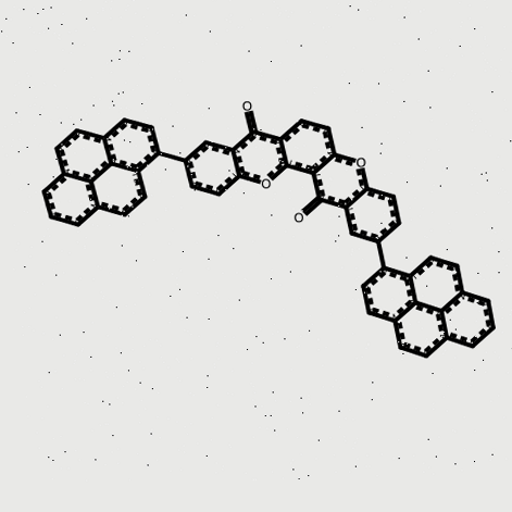 O=c1c2cc(-c3ccc4ccc5cccc6ccc3c4c56)ccc2oc2c1ccc1oc3ccc(-c4ccc5ccc6cccc7ccc4c5c67)cc3c(=O)c12